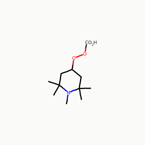 CN1C(C)(C)CC(OOC(=O)O)CC1(C)C